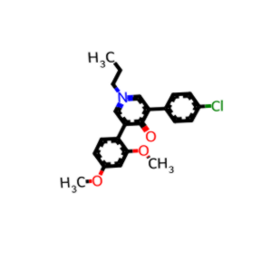 CCCn1cc(-c2ccc(Cl)cc2)c(=O)c(-c2ccc(OC)cc2OC)c1